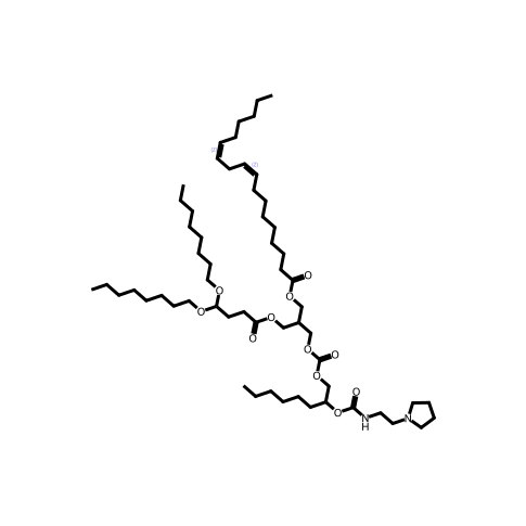 CCCCC/C=C\C/C=C\CCCCCCCC(=O)OCC(COC(=O)CCC(OCCCCCCCC)OCCCCCCCC)COC(=O)OCC(CCCCCC)OC(=O)NCCN1CCCC1